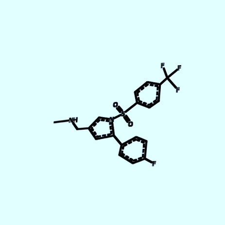 CNCc1cc(-c2ccc(F)cc2)n(S(=O)(=O)c2ccc(C(F)(F)F)cc2)c1